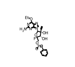 C#C[C@]1(O)[C@H](n2cnc3c(OCC)nc(N)nc32)O[C@](F)(CO[PH](=O)Oc2ccccc2)[C@H]1O